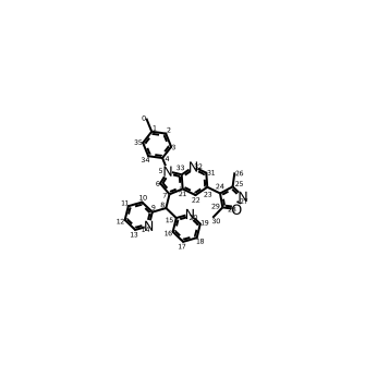 Cc1ccc(-n2cc(C(c3ccccn3)c3ccccn3)c3cc(-c4c(C)noc4C)cnc32)cc1